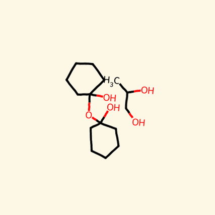 CC(O)CO.OC1(OC2(O)CCCCC2)CCCCC1